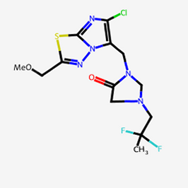 COCc1nn2c(CN3CN(CC(C)(F)F)CC3=O)c(Cl)nc2s1